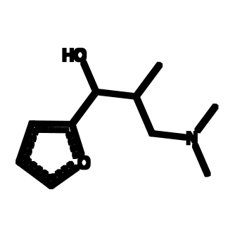 CC(CN(C)C)C(O)c1ccco1